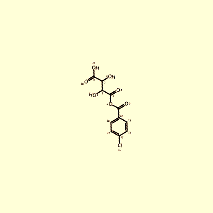 O=C(OC(=O)C(O)C(O)C(=O)O)c1ccc(Cl)cc1